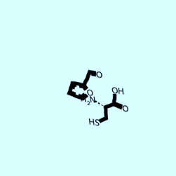 N[C@@H](CS)C(=O)O.O=Cc1ccco1